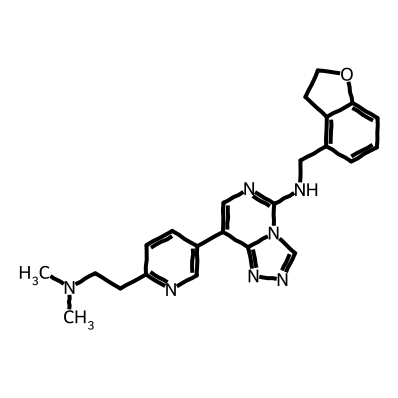 CN(C)CCc1ccc(-c2cnc(NCc3cccc4c3CCO4)n3cnnc23)cn1